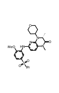 COc1ccc(S(=O)(=O)C(C)C)cc1Nc1ccc2c(n1)N(C1CCOCC1)[C@H](C)C(=O)N2C